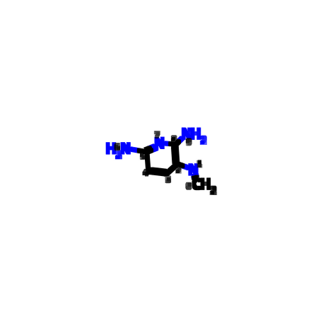 C=Nc1ccc(N)nc1N